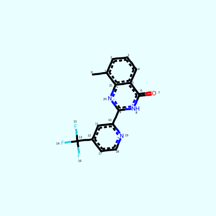 Cc1cccc2c(=O)[nH]c(-c3cc(C(F)(F)F)ccn3)nc12